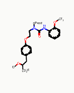 CCCCCN(CCOc1ccc(CC(OCC)C(=O)O)cc1)C(=O)Nc1ccccc1OC(F)(F)F